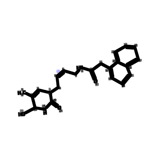 CC1=CN(C/C=C\CNC(=O)Cc2cccc3ccccc23)C(=O)NC1O